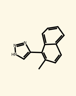 Cc1ccc2ccccc2c1-c1c[nH]nn1